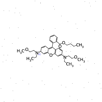 CCCCOC(=O)c1ccccc1-c1c2cc/c(=[N+](/CC)CCOC)cc-2oc2cc(N(CC)CCOC)ccc12